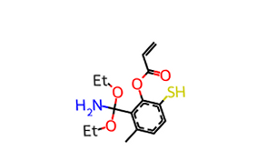 C=CC(=O)Oc1c(S)ccc(C)c1C(N)(OCC)OCC